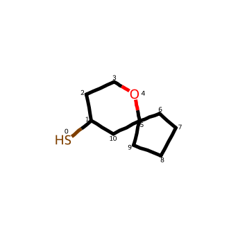 SC1CCOC2(CCCC2)C1